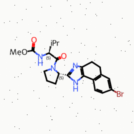 COC(=O)N[C@H](C(=O)N1CCC[C@H]1c1nc2c([nH]1)-c1ccc(Br)cc1CC2)C(C)C